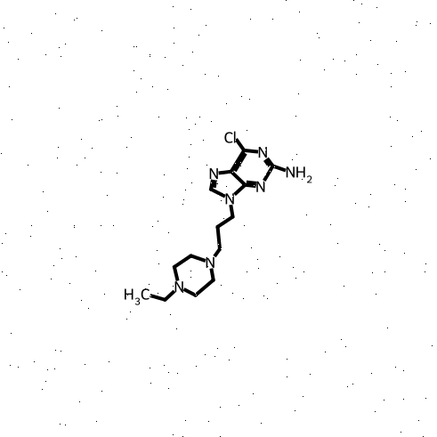 CCN1CCN(CCCn2cnc3c(Cl)nc(N)nc32)CC1